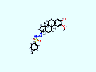 COc1cc2c(cc1O)CC[C@@H]1[C@@H]2CC[C@]2(C)C(=NNS(=O)(=O)c3ccc(C)cc3)CC[C@@H]12